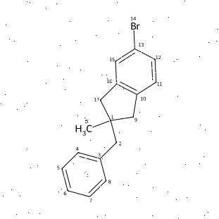 CC1(Cc2ccccc2)Cc2ccc(Br)cc2C1